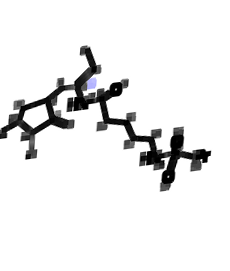 C=C1C(C/C(=C\C)NC(=O)CCCCNS(=O)(=O)C(C)C)CC(C)C1C